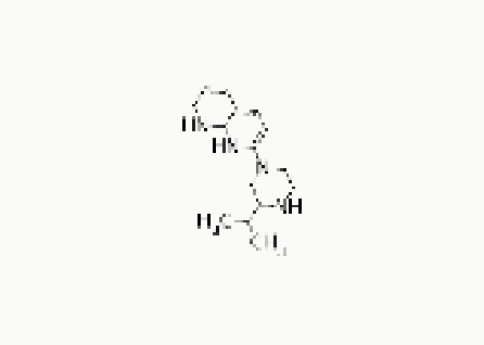 CC(C)C1CN(C2=CC=C3C=CCNC3N2)CCN1